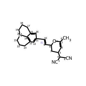 CC1=CC(C(C#N)C#N)CC(/C=C/c2cc3c4c(c2)CCCN4CCC3)O1